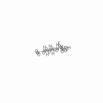 CC[C@@]1(O)C(=O)OCc2c1cc1n(c2=O)Cc2c-1nc1cc(F)c(C)cc1c2CNC(=O)COCNC(=O)CNC(=O)CNC(=O)CNC(=O)CCCCCN1C(=O)C=CC1=O